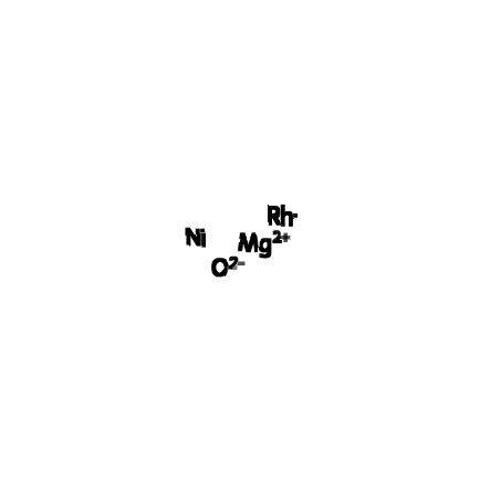 [Mg+2].[Ni].[O-2].[Rh]